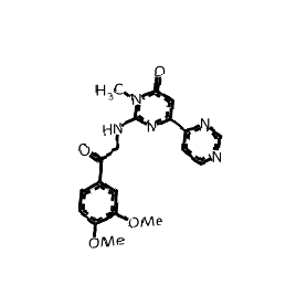 COc1ccc(C(=O)CNc2nc(-c3ccncn3)cc(=O)n2C)cc1OC